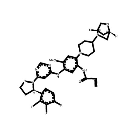 C=CC(=O)Nc1cc(Nc2cc(N3OCC[C@@H]3c3ccc(F)c(F)c3F)ncn2)c(OC)cc1N1CCC(N2C[C@@H]3C[C@H]2CO3)CC1